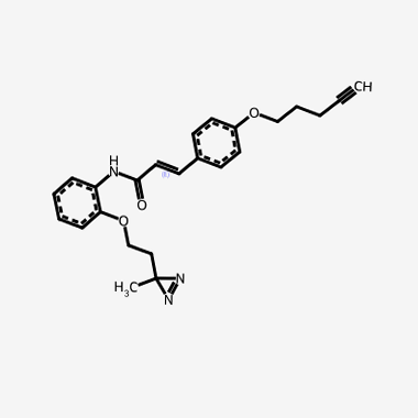 C#CCCCOc1ccc(/C=C/C(=O)Nc2ccccc2OCCC2(C)N=N2)cc1